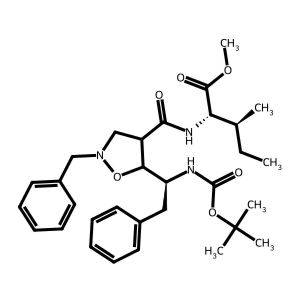 CC[C@H](C)[C@H](NC(=O)C1CN(Cc2ccccc2)OC1[C@H](Cc1ccccc1)NC(=O)OC(C)(C)C)C(=O)OC